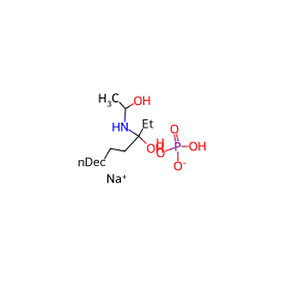 CCCCCCCCCCCCC(O)(CC)NC(C)O.O=P([O-])(O)O.[Na+]